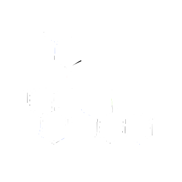 C[C@H](CN(C)C)Oc1cc(Br)cc2ncnc(Nc3ccc4ncc(F)cc4c3F)c12